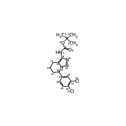 CC(C)(C)OC(=O)Nc1nnn2c1CCCC2c1ccc(Cl)c(Cl)c1